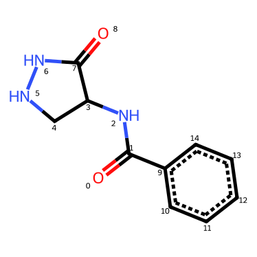 O=C(NC1CNNC1=O)c1ccccc1